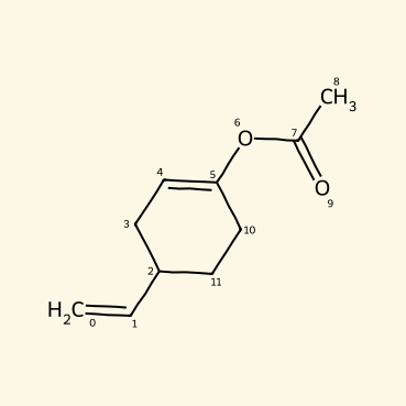 C=CC1CC=C(OC(C)=O)CC1